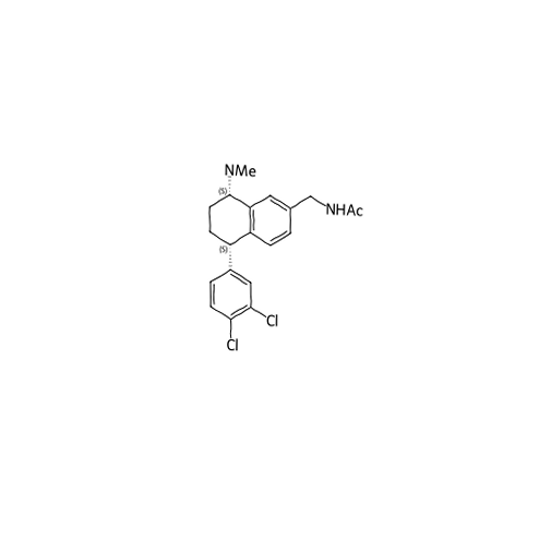 CN[C@H]1CC[C@@H](c2ccc(Cl)c(Cl)c2)c2ccc(CNC(C)=O)cc21